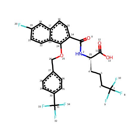 O=C(N[C@@H](CCCC(F)(F)F)C(=O)O)c1ccc2cc(F)ccc2c1OCc1ccc(C(F)(F)F)cc1